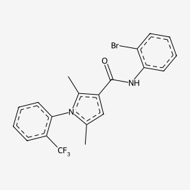 Cc1cc(C(=O)Nc2ccccc2Br)c(C)n1-c1ccccc1C(F)(F)F